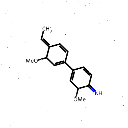 CC=C1C=CC(C2=CC(OC)C(=N)C=C2)=CC1OC